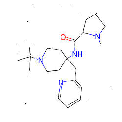 CN1CCCC1C(=O)NC1(Cc2ccccn2)CCN(C(C)(C)C)CC1